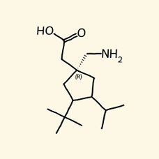 CC(C)C1C[C@](CN)(CC(=O)O)CC1C(C)(C)C